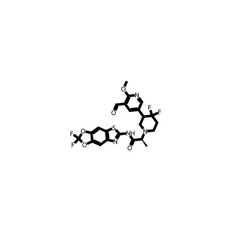 COc1ncc(C2CN([C@@H](C)C(=O)Nc3nc4cc5c(cc4s3)OC(F)(F)O5)CCC2(F)F)cc1C=O